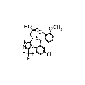 COc1cccc([C@H]2S[C@H](CC(=O)O)c3nnc(C(F)(F)F)n3-c3ccc(Cl)cc32)c1Cl